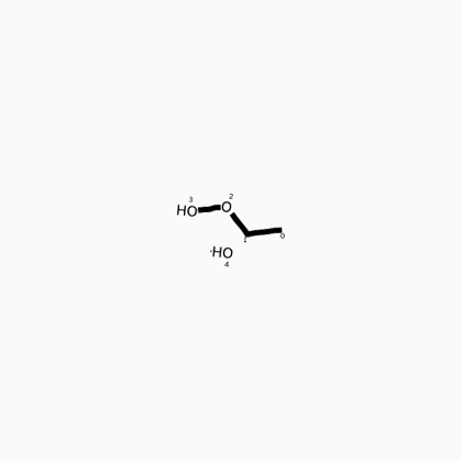 CCOO.[OH]